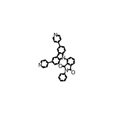 O=C1c2cccc(-n3c4ccc(-c5ccncc5)cc4c4cc(-c5ccncc5)ccc43)c2C(=O)N1c1ccccc1